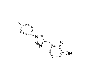 Cc1ccc(-n2cc(Cn3cccc(O)c3=S)nn2)cc1